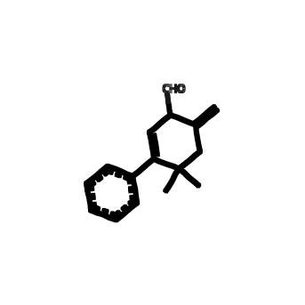 C=C1CC(C)(C)C(c2ccccc2)=CC1C=O